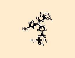 Cc1cc(N(C(=O)OC(C)(C)C)[C@@H]2CCN(C(=O)OC(C)(C)C)C2)on1